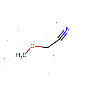 COCC#N